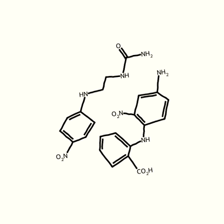 NC(=O)NCCNc1ccc([N+](=O)[O-])cc1.Nc1ccc(Nc2ccccc2C(=O)O)c([N+](=O)[O-])c1